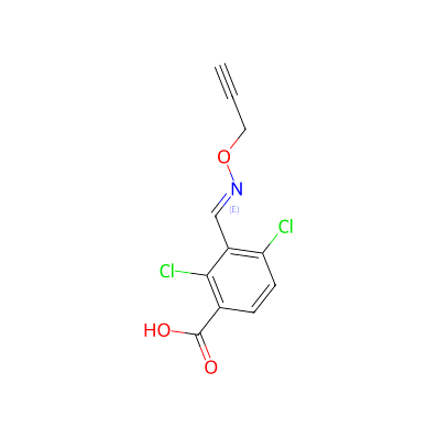 C#CCO/N=C/c1c(Cl)ccc(C(=O)O)c1Cl